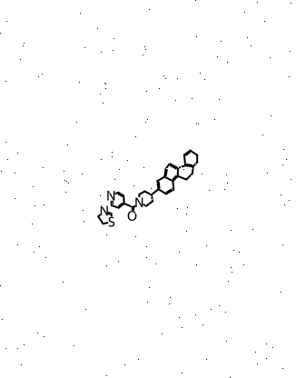 C1=NCCS1.O=C(c1ccncc1)N1CCC(c2ccc3c4c(ccc3c2)C2=C(CCC=C2)CC4)CC1